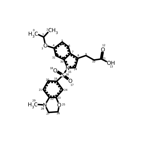 CC(C)Oc1ccc2c(CCC(=O)O)cn(S(=O)(=O)c3ccc4c(c3)OCCN4C)c2c1